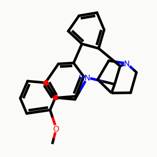 COc1ccccc1CNC1C2CCN(CC2)C1c1ccccc1-c1ccccc1